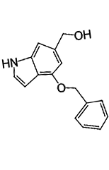 OCc1cc(OCc2ccccc2)c2cc[nH]c2c1